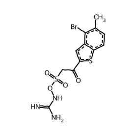 Cc1ccc2sc(C(=O)CS(=O)(=O)ONC(=N)N)cc2c1Br